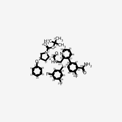 CC(C)(C)OC(=O)N1C[C@@H](Oc2ccccc2)C[C@H]1C(=O)N[C@@H](Cc1cc(F)cc(F)c1)c1ncccc1-c1ccc(F)c(C(N)=O)c1